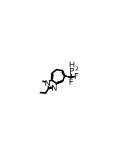 CCc1nc2c(n1C)=CCC=C(C(F)(F)P)C=2